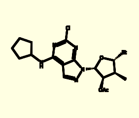 CC[C@H]1O[C@@H](n2ncc3c(NC4CCCC4)nc(Cl)nc32)[C@H](OC(C)=O)[C@@H]1C